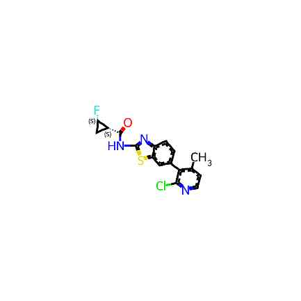 Cc1ccnc(Cl)c1-c1ccc2nc(NC(=O)[C@@H]3C[C@@H]3F)sc2c1